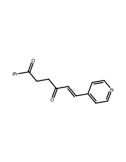 CC(C)C(=O)CCC(=O)/C=C/c1ccncc1